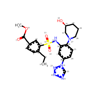 CCc1ccc(C(=O)OC)cc1S(=O)(=O)Nc1cc(-n2cnnn2)ccc1N1CCC[C@H](O)C1